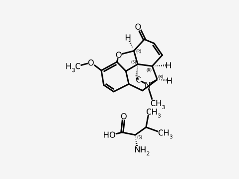 CC(C)[C@H](N)C(=O)O.COC1=C2O[C@H]3C(=O)C=C[C@H]4[C@H]5CC(C=C1)C2[C@@]34CCN5C